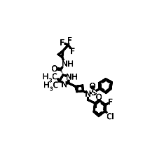 CC1(C)N=C(C23CC(N(Cc4ccc(Cl)c(F)c4)S(=O)(=O)c4ccccc4)(C2)C3)N[C@H]1C(=O)NC1CC1C(F)(F)F